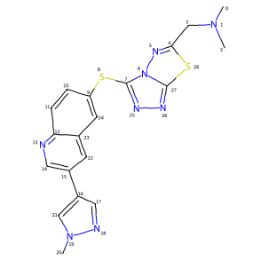 CN(C)Cc1nn2c(Sc3ccc4ncc(-c5cnn(C)c5)cc4c3)nnc2s1